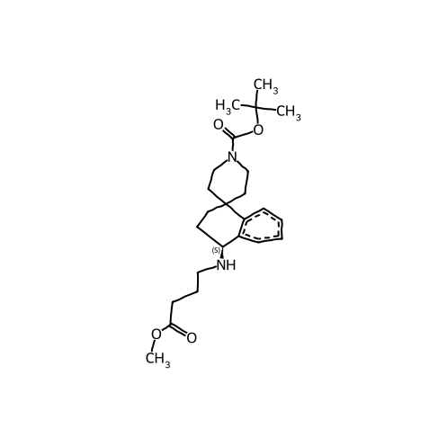 COC(=O)CCCN[C@H]1CCC2(CCN(C(=O)OC(C)(C)C)CC2)c2ccccc21